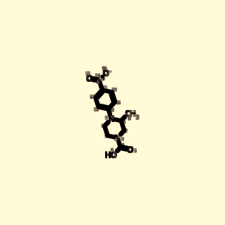 CC1CN(C(=O)O)CCN1c1ccc([N+](=O)[O-])cc1